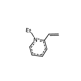 C=Cc1cccc[n+]1CC